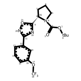 CC(C)(C)OC(=O)N1CCC[C@H]1c1nc(-c2cccc(OC(F)(F)F)c2)no1